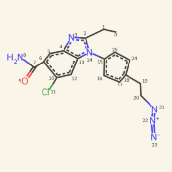 CCc1nc2cc(C(N)=O)c(Cl)cc2n1-c1ccc(CCN=[N+]=[N-])cc1